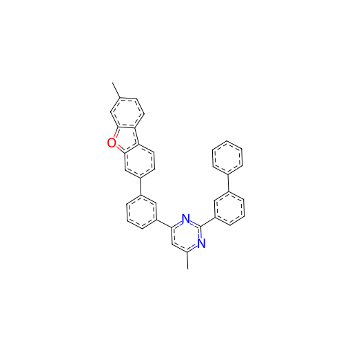 Cc1ccc2c(c1)oc1cc(-c3cccc(-c4cc(C)nc(-c5cccc(-c6ccccc6)c5)n4)c3)ccc12